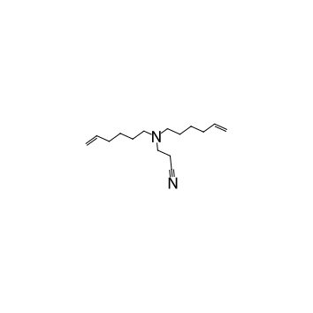 C=CCCCCN(CCC#N)CCCCC=C